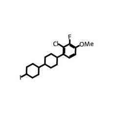 COc1ccc(C2CCC(C3CCC(I)CC3)CC2)c(Cl)c1F